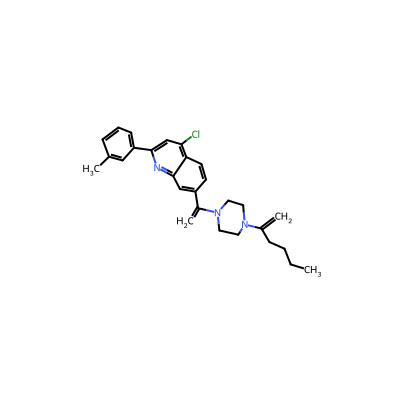 C=C(CCCC)N1CCN(C(=C)c2ccc3c(Cl)cc(-c4cccc(C)c4)nc3c2)CC1